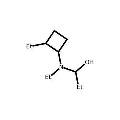 CCC1CCC1N(CC)C(O)CC